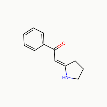 O=C(/C=C1\CCCN1)c1ccccc1